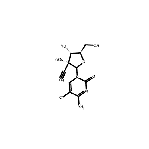 C#C[C@]1(O)C(n2cc(Cl)c(N)nc2=O)O[C@H](CO)[C@H]1O